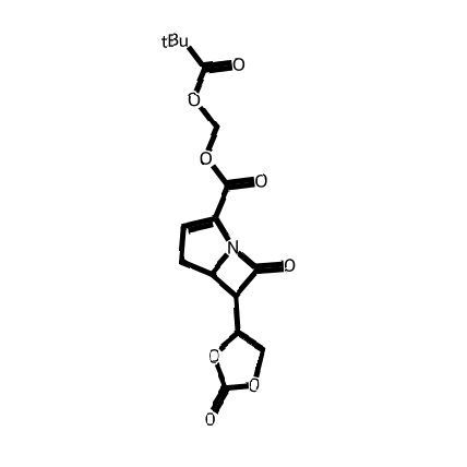 CC(C)(C)C(=O)OCOC(=O)C1=CCC2C(C3COC(=O)O3)C(=O)N12